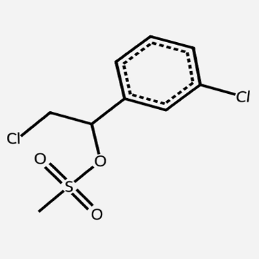 CS(=O)(=O)OC(CCl)c1cccc(Cl)c1